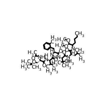 CCCCC(NC(=O)[C@H](CC(C)C)NC(=O)[C@@H](NC(=O)[C@H](Cc1ccccc1C)NC(=O)[C@H](NC(=O)[C@H](COC(C)(C)C)NC(C)=O)C(C)C)C(C)(C)C)C(OC)OC